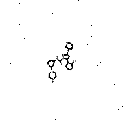 O=C(Nc1cccc(N2CCNCC2)c1)N1N=C(c2cccnc2)CC1C1CC=CC=C1O